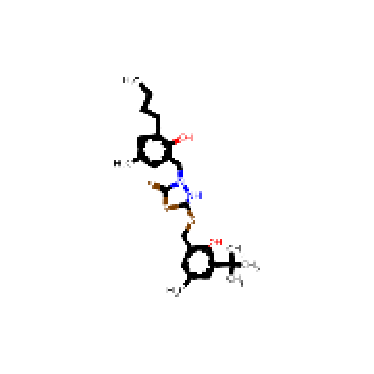 CCCCc1cc(C)cc(CN2NC(SCc3cc(C)cc(C(C)(C)C)c3O)SC2=S)c1O